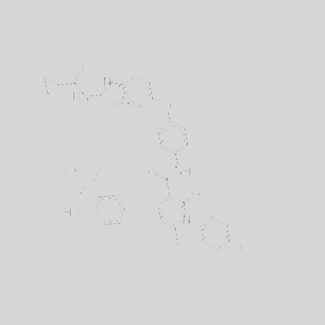 Cc1ccc(C(=O)Nc2ccc(Oc3ccc4nc(NC(=O)C5CC5)cn4c3)cc2)c(=O)n1-c1ccc(F)cc1.O.O=S(=O)(O)c1ccccc1